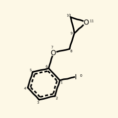 Ic1ccccc1OCC1CO1